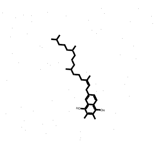 CC(=CCc1ccc2c(O)c(C)c(C)c(O)c2c1)CCCC(C)CCCC(C)CCCC(C)C